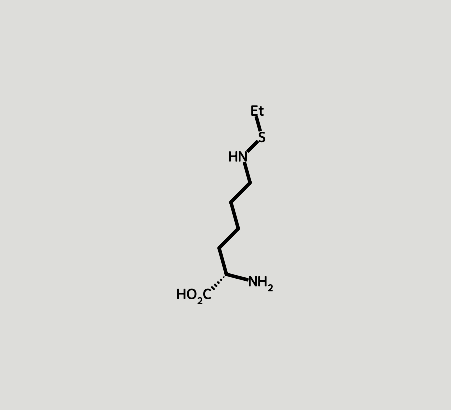 CCSNCCCC[C@H](N)C(=O)O